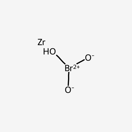 [O-][Br+2]([O-])O.[Zr]